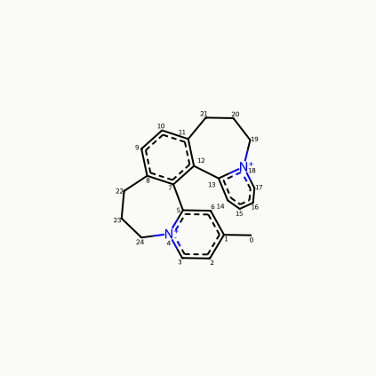 Cc1cc[n+]2c(c1)-c1c(ccc3c1-c1cccc[n+]1CCC3)CCC2